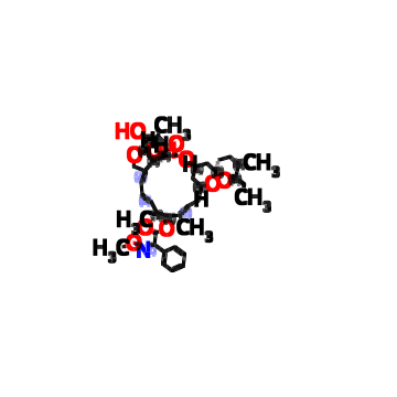 CC[C@H]1O[C@]2(CC[C@@H]1C)C[C@@H]1C[C@@H](C/C=C(\C)[C@H](OC(=O)/C(=N\OC)c3ccccc3)[C@@H](C)/C=C/C=C3/CO[C@@H]4[C@H](O)C(C)=C[C@@H](C(=O)O1)[C@]34O)O2